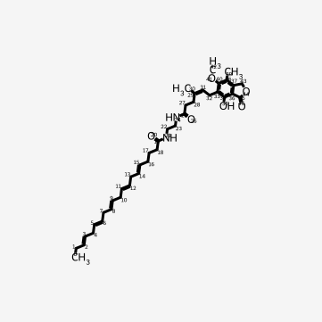 CCC=CCC=CCC=CCC=CCC=CCCCC(=O)NCCNC(=O)CCC(C)=CCc1c(O)c2c(c(C)c1OC)COC2=O